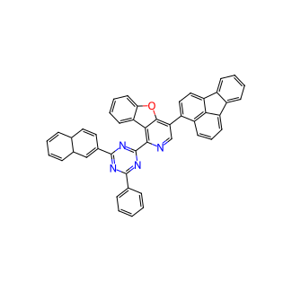 C1=CC2C=CC(c3nc(-c4ccccc4)nc(-c4ncc(-c5ccc6c7c(cccc57)-c5ccccc5-6)c5oc6ccccc6c45)n3)=CC2C=C1